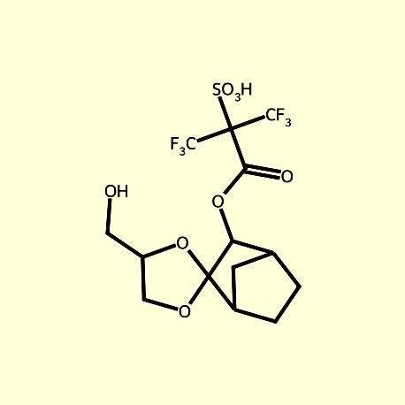 O=C(OC1C2CCC(C2)C12OCC(CO)O2)C(C(F)(F)F)(C(F)(F)F)S(=O)(=O)O